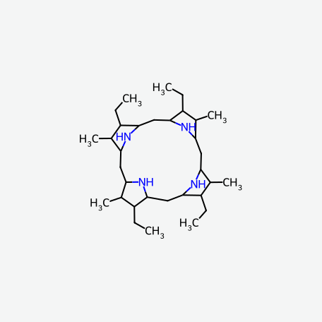 CCC1C2CC3NC(CC4NC(CC5NC(CC(N2)C1C)C(C)C5CC)C(CC)C4C)C(C)C3CC